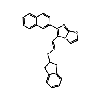 C(=N\OC1Cc2ccccc2C1)/c1c(-c2ccc3ccccc3c2)nc2occn12